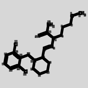 COCCCN(N=CC1CCCCN1Cc1c(Cl)cccc1Cl)C(N)=S